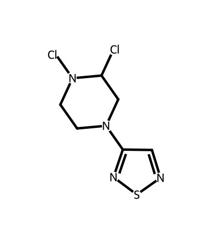 ClC1CN(c2cnsn2)CCN1Cl